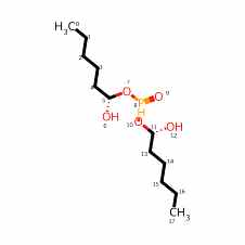 CCCCC[C@@H](O)O[PH](=O)O[C@H](O)CCCCC